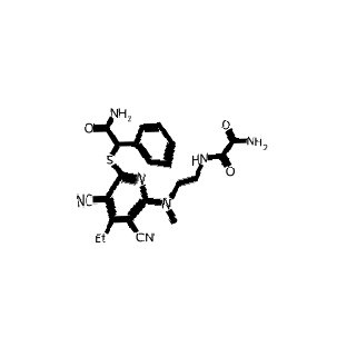 CCc1c(C#N)c(SC(C(N)=O)c2ccccc2)nc(N(C)CCNC(=O)C(N)=O)c1C#N